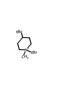 CC(C)(C)C1CC[N+](C)(C(C)(C)C)CC1